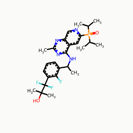 Cc1nc(NC(C)c2cccc(C(F)(F)C(C)(C)O)c2F)c2cc(P(=O)(C(C)C)C(C)C)ncc2n1